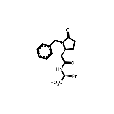 CC(C)[C@H](NC(=O)C[C@@H]1CCC(=O)N1Cc1ccccc1)C(=O)O